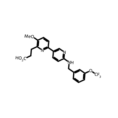 COc1ccc(-c2ccc(NCc3cccc(OC(F)(F)F)c3)nc2)nc1CCC(=O)O